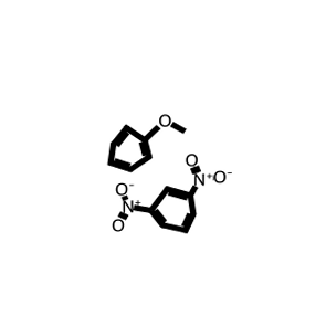 COc1ccccc1.O=[N+]([O-])c1cccc([N+](=O)[O-])c1